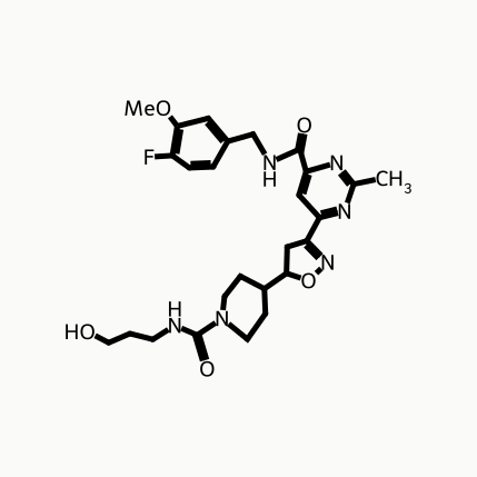 COc1cc(CNC(=O)c2cc(C3=NOC(C4CCN(C(=O)NCCCO)CC4)C3)nc(C)n2)ccc1F